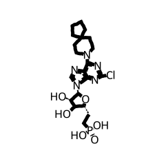 O=P(O)(O)CC[C@H]1O[C@@H](n2cnc3c(N4CCC5(CCCC5)CC4)nc(Cl)nc32)[C@@H](O)C1O